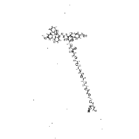 CCCC(COCCOCCOCCOCCOCCOCCOCCOCCNC(=O)COCC(=O)NC(CCCCNC(c1ccccc1)(c1ccccc1)c1ccc(OC)cc1)C(=O)Nc1ccc(CO)cc1)N=[N+]=[N-]